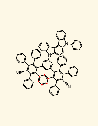 N#Cc1c(-c2ccccc2)c(-c2ccccc2)c(-c2cc(-c3c(-c4ccccc4)c(-c4ccccc4)c(C#N)c(-c4ccccc4)c3-c3ccccc3)nc(-n3c4ccccc4c4c5c6ccccc6n(-c6ccccc6)c5ccc43)c2)c(-c2ccccc2)c1-c1ccccc1